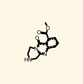 COC(=O)c1cccc2nc3n(c(=O)c12)CCNC3